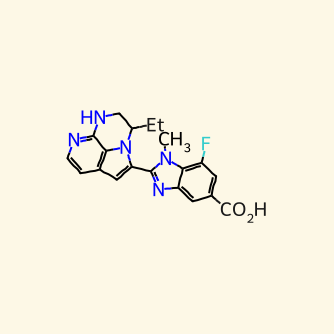 CCC1CNc2nccc3cc(-c4nc5cc(C(=O)O)cc(F)c5n4C)n1c23